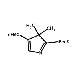 CCCCCCC1=CN=C(C(C)CCC)C1(C)C